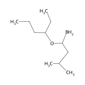 BC(CC(C)C)OC(CC)CCC